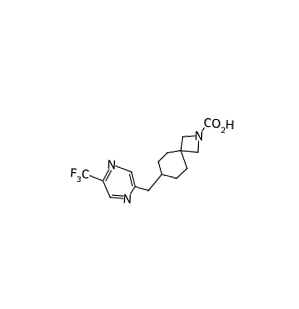 O=C(O)N1CC2(CCC(Cc3cnc(C(F)(F)F)cn3)CC2)C1